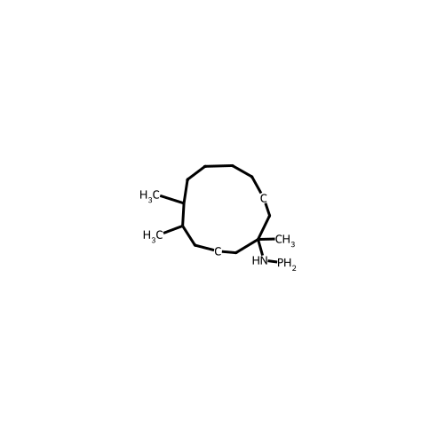 CC1CCCCCCC(C)(NP)CCCC1C